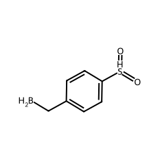 BCc1ccc([SH](=O)=O)cc1